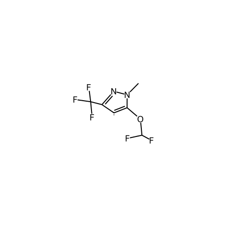 Cn1nc(C(F)(F)F)[c]c1OC(F)F